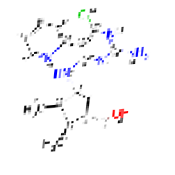 C[C@@H]1[C@@H](CO)C[C@@H](Nc2nc(N)nc(Cl)c2-c2ccccn2)[C@@H]1C